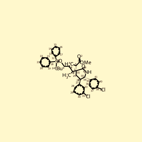 COC(=O)C(C)[C@@]1([C@@H](C)CCO[Si](c2ccccc2)(c2ccccc2)C(C)(C)C)C[C@H](c2cccc(Cl)c2)[C@@H](c2ccc(Cl)cc2)NC1=O